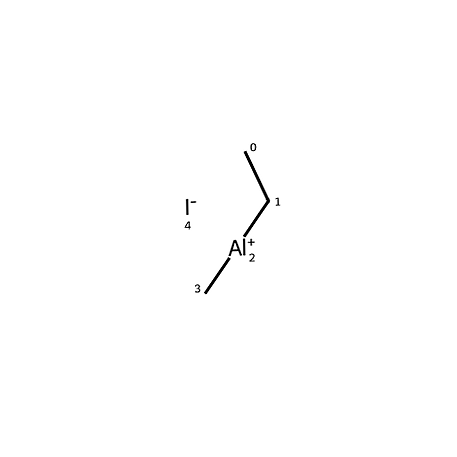 C[CH2][Al+][CH3].[I-]